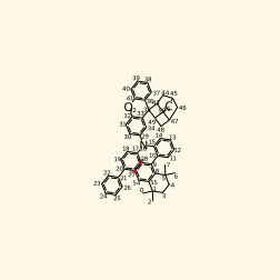 CC1(C)CCC(C)(C)c2c(-c3ccccc3N(c3ccc(-c4ccccc4)cc3)c3ccc4c(c3)C3(c5ccccc5O4)C4CC5CC6CC3C64C5)cccc21